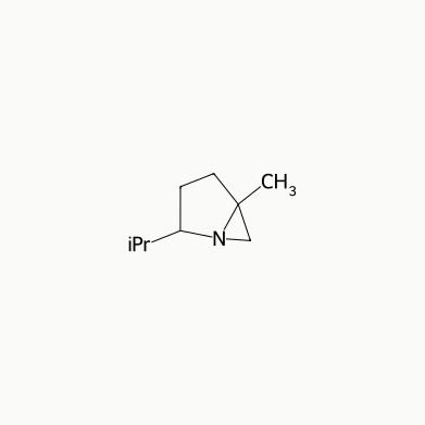 CC(C)C1CCC2(C)CN12